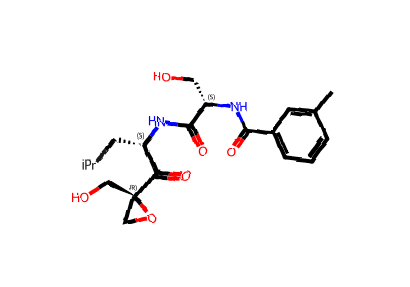 Cc1cccc(C(=O)N[C@@H](CO)C(=O)N[C@@H](CC(C)C)C(=O)[C@@]2(CO)CO2)c1